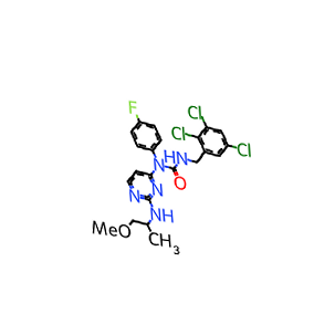 COCC(C)Nc1nccc(N(C(=O)NCc2cc(Cl)cc(Cl)c2Cl)c2ccc(F)cc2)n1